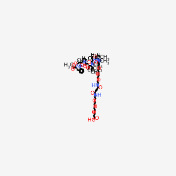 CC[C@H](C)[C@@H]([C@@H](CC(=O)N1CCC[C@H]1[C@H](OC)[C@@H](C)C(=O)N[C@@H](Cc1ccccc1)C(=O)OC)OC)N(C)C(=O)[C@@H](NC(=O)[C@H](C(C)C)N(C)C(=O)CCOCCOCCOCCNC(=O)C#CC(=O)NCCOCCOCCOCCC(=O)O)C(C)C